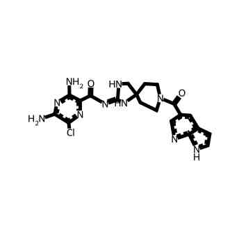 Nc1nc(N)c(C(=O)/N=C2\NCC3(CCN(C(=O)c4cnc5[nH]ccc5c4)CC3)N2)nc1Cl